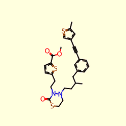 COC(=O)c1ccc(CCN2C(=O)SCCN2CCC(C)Cc2cccc(C#Cc3csc(C)c3)c2)s1